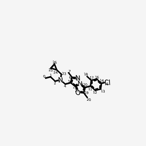 CCCN(Cc1c(C)nn2c(-c3ccc(Cl)cc3C)c(C)oc12)CC1CC1